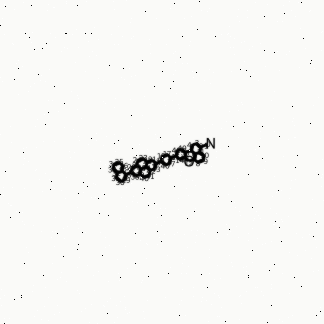 N#Cc1ccc2c3c(cccc13)Oc1cc(-c3ccc(-c4cc5ccc6cc(-c7cccc8ccccc78)cc7ccc(c4)c5c67)cc3)ccc1-2